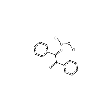 ClOOCl.O=C(C(=O)c1ccccc1)c1ccccc1